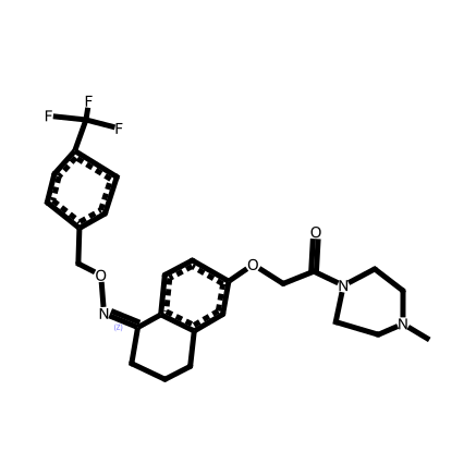 CN1CCN(C(=O)COc2ccc3c(c2)CCC/C3=N/OCc2ccc(C(F)(F)F)cc2)CC1